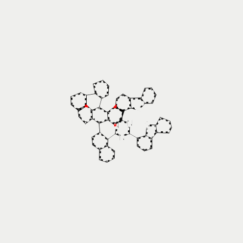 c1ccc(-c2ccccc2-c2c3ccccc3c(-c3ccc4ccccc4c3-c3nc(-c4cccc5c4sc4ccccc45)nc(-c4cccc5c4sc4ccccc45)n3)c3ccccc23)cc1